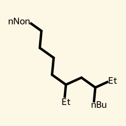 CCCCCCCCCCCCCC(CC)CC(CC)CCCC